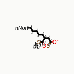 CCCCCCCCCCCCCCC(CC([O-])=S)C([O-])=S.[Na+].[Na+]